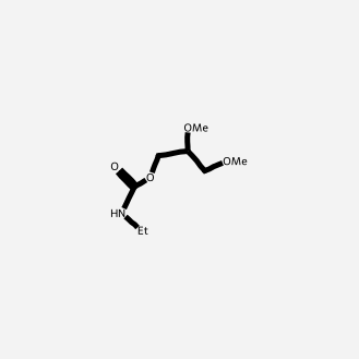 CCNC(=O)OCC(COC)OC